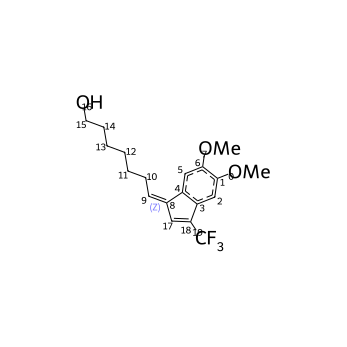 COc1cc2c(cc1OC)/C(=C\CCCCCCO)C=C2C(F)(F)F